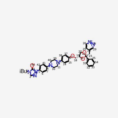 CCC(C)n1cnn(-c2ccc(N3CCN(c4ccc(OC[C@@H]5CO[C@@](Cc6ccnnc6)(c6ccccc6)O5)cc4)CC3)cc2)c1=O